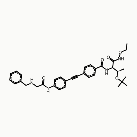 CCONC(=O)C(NC(=O)c1ccc(C#Cc2ccc(NC(=O)CNCc3ccccc3)cc2)cc1)[C@@H](C)OC(C)(C)C